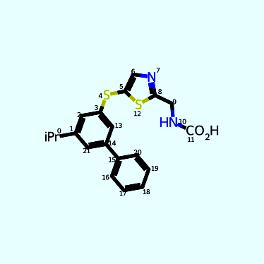 CC(C)c1cc(Sc2cnc(CNC(=O)O)s2)cc(-c2ccccc2)c1